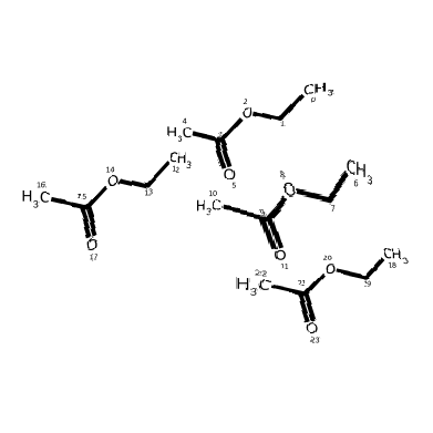 CCOC(C)=O.CCOC(C)=O.CCOC(C)=O.CCOC(C)=O